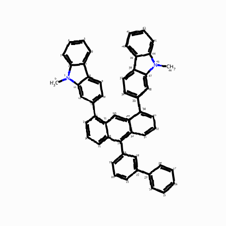 Cn1c2ccccc2c2ccc(-c3cccc4c(-c5cccc(-c6ccccc6)c5)c5cccc(-c6ccc7c8ccccc8n(C)c7c6)c5cc34)cc21